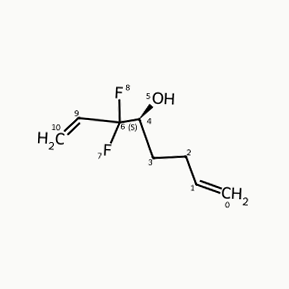 C=CCC[C@H](O)C(F)(F)C=C